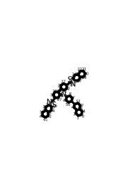 c1ccc2cc(-c3ccc(-n4c5cc(-c6nc7cc8ccccc8cc7s6)ccc5c5ccc(-c6nc7cc8ccccc8cc7s6)cc54)cc3)ccc2c1